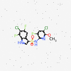 COc1nc(NS(=O)(=O)c2c[nH]c3c(F)c(Cl)c(F)cc23)c(F)cc1Cl